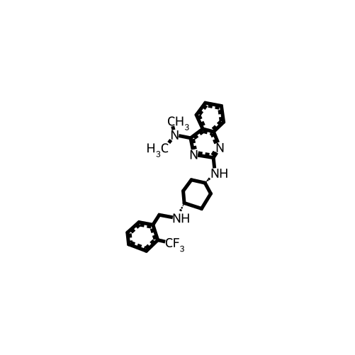 CN(C)c1nc(N[C@H]2CC[C@@H](NCc3ccccc3C(F)(F)F)CC2)nc2ccccc12